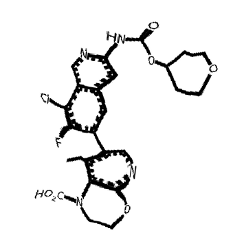 Cc1c(-c2cc3cc(NC(=O)OC4CCOCC4)ncc3c(Cl)c2F)cnc2c1N(C(=O)O)CCO2